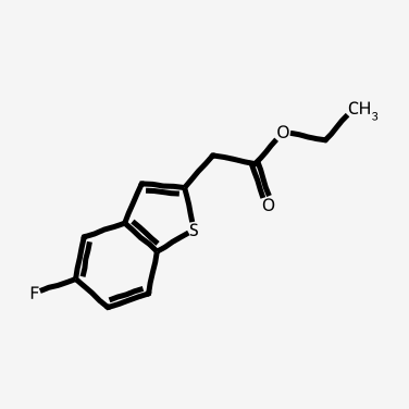 CCOC(=O)Cc1cc2cc(F)ccc2s1